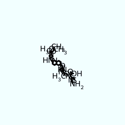 CC(O/N=C(\C(=O)O)c1csc(N)n1)c1nnn(Oc2ccc3nc(NC4CN(C(=O)OC(C)(C)C)C4)ccc3c2)n1